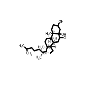 CC(C)CCC[C@@H](C)[C@H]1CC[C@H]2[C@@H]3CC(Cl)C4(O)CC(O)CC[C@]4(C)[C@H]3CC[C@]12C